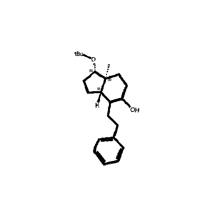 CC(C)(C)O[C@H]1CC[C@H]2C(CCc3ccccc3)C(O)CC[C@]12C